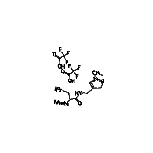 CNC(CC(C)C)C(=O)NCc1cnn(C)c1.O=C(O)C(F)(F)F.O=C(O)C(F)(F)F